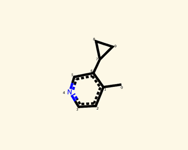 Cc1ccncc1C1CC1